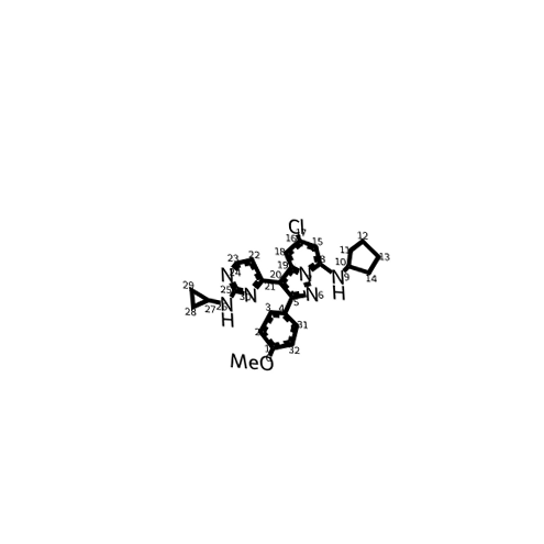 COc1ccc(-c2nn3c(NC4CCCC4)cc(Cl)cc3c2-c2ccnc(NC3CC3)n2)cc1